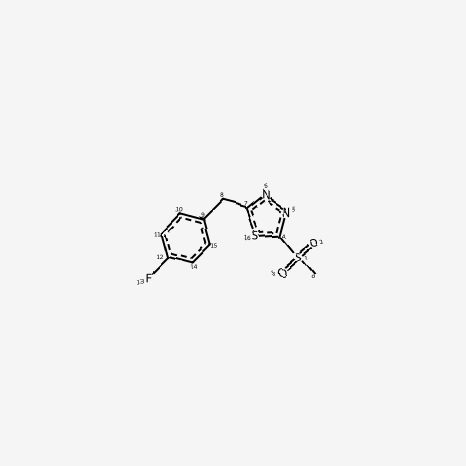 CS(=O)(=O)c1nnc(Cc2ccc(F)cc2)s1